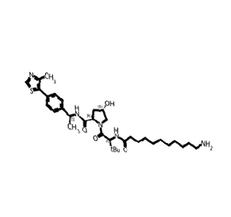 Cc1ncsc1-c1ccc([C@H](C)NC(=O)[C@H]2C[C@H](O)CN2C(=O)[C@@H](NC(=O)CCCCCCCCCCN)C(C)(C)C)cc1